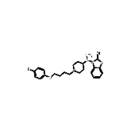 CN(C1CCN(CCCCOc2ccc(F)cc2)CC1)N1c2ccccc2SC1O